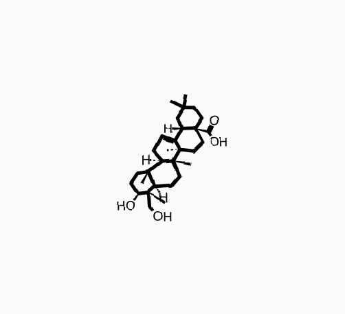 CC1(C)CC[C@]2(C(=O)O)CC[C@]3(C)C(=CC[C@@H]4[C@@]5(C)CC[C@H](O)[C@@](C)(CO)[C@@H]5CC[C@]43C)[C@@H]2C1